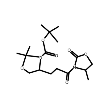 CC1COC(=O)N1C(=O)CCC1COC(C)(C)N1C(=O)OC(C)(C)C